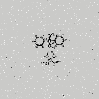 C=C[Si](OC)(OC)OC.CO[Si](OC)(c1ccccc1)c1ccccc1